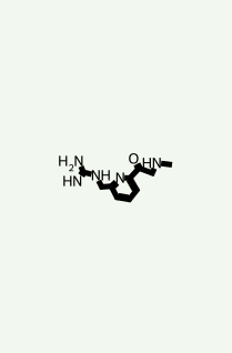 CNCC(=O)c1cccc(CNC(=N)N)n1